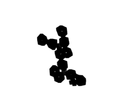 CC1(C)c2ccccc2-c2ccc(N(c3ccc(-c4ccc(N(c5ccc(-c6ccccc6)cc5)c5cccc(-c6ccccc6)c5)c5ccccc45)cc3)c3cccc4ccccc34)cc21